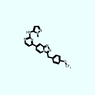 Cn1nccc1Nc1nccc(-c2ccn3c(Cc4ccc(OC(F)(F)F)cc4)nnc3c2)n1